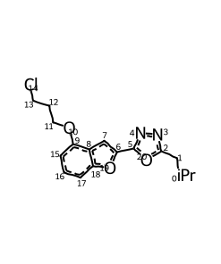 CC(C)Cc1nnc(-c2cc3c(OCCCCl)cccc3o2)o1